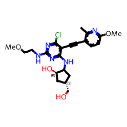 COCCNc1nc(Cl)c(C#Cc2ccc(OC)nc2C)c(NC2C[C@H](CO)C[C@H]2O)n1